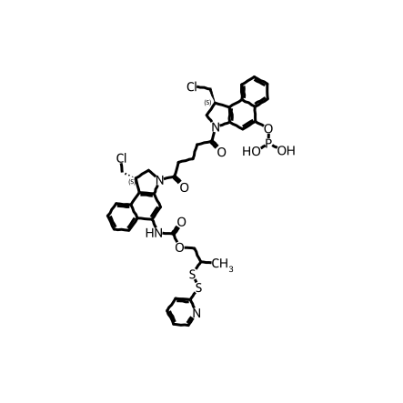 CC(COC(=O)Nc1cc2c(c3ccccc13)[C@H](CCl)CN2C(=O)CCCC(=O)N1C[C@@H](CCl)c2c1cc(OP(O)O)c1ccccc21)SSc1ccccn1